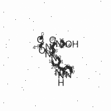 COC[C@@H](C)Oc1nc(C(=O)N2CC(O)C2)cc(N2CCC(c3n[nH]c4ncccc34)CC2)n1